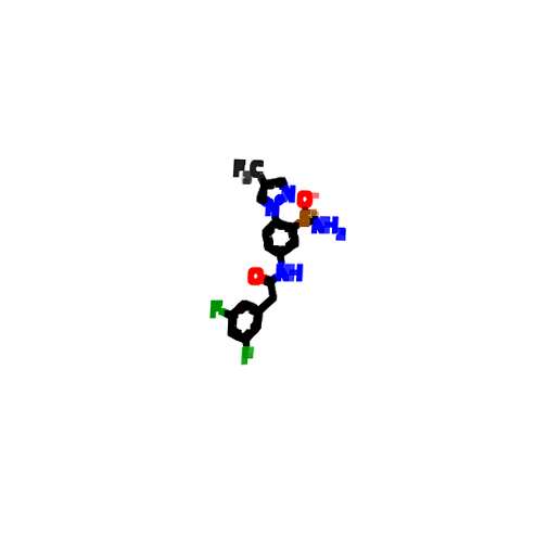 N[S+]([O-])c1cc(NC(=O)Cc2cc(F)cc(F)c2)ccc1-n1cc(C(F)(F)F)cn1